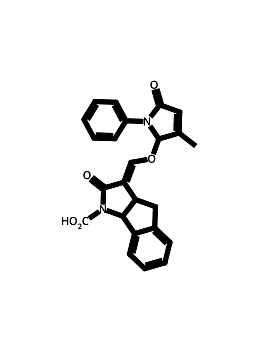 CC1=CC(=O)N(c2ccccc2)C1OC=C1C(=O)N(C(=O)O)C2c3ccccc3CC12